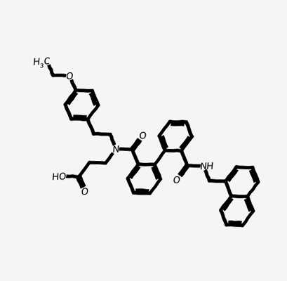 CCOc1ccc(CCN(CCC(=O)O)C(=O)c2ccccc2-c2ccccc2C(=O)NCc2cccc3ccccc23)cc1